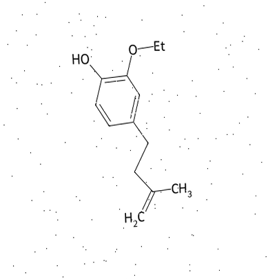 C=C(C)CCc1ccc(O)c(OCC)c1